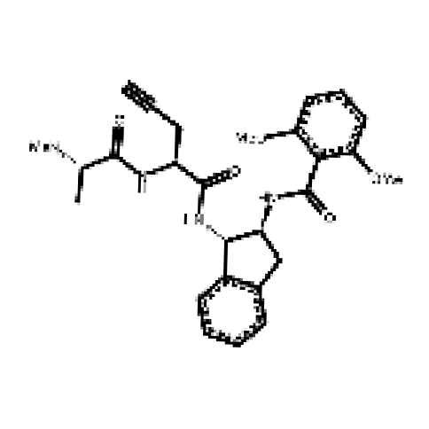 C#CC[C@H](NC(=O)[C@H](C)NC)C(=O)N[C@H]1c2ccccc2C[C@@H]1NC(=O)c1c(OC)cccc1OC